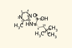 Cc1nccnc1N[C@@H](CCC(C)(C)C)C(=O)O